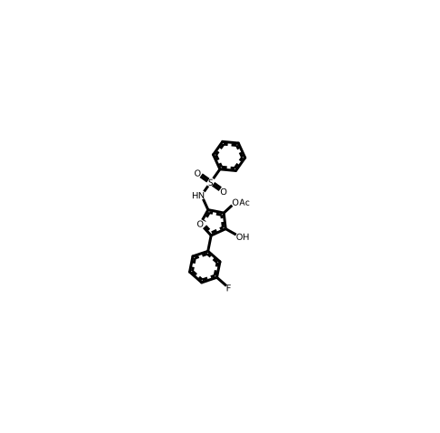 CC(=O)Oc1c(NS(=O)(=O)c2ccccc2)oc(-c2cccc(F)c2)c1O